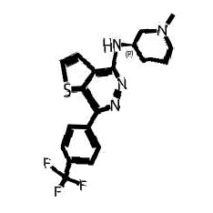 CN1CCC[C@@H](Nc2nnc(-c3ccc(C(F)(F)F)cc3)c3sccc23)C1